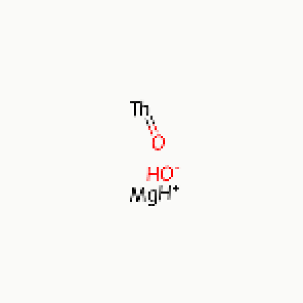 [MgH+].[OH-].[O]=[Th]